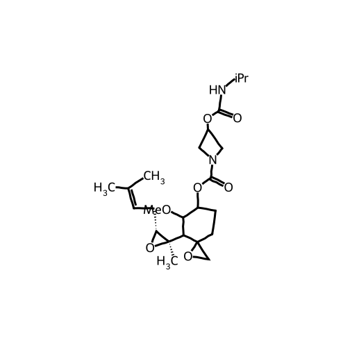 COC1C(OC(=O)N2CC(OC(=O)NC(C)C)C2)CCC2(CO2)C1[C@@]1(C)O[C@@H]1CC=C(C)C